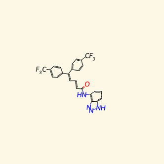 O=C(/C=C/C=C(c1ccc(C(F)(F)F)cc1)c1ccc(C(F)(F)F)cc1)Nc1cccc2[nH]nnc12